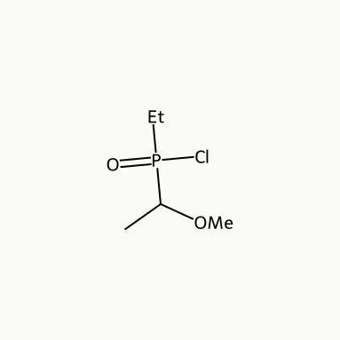 CCP(=O)(Cl)C(C)OC